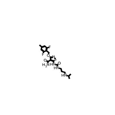 Cc1cc(F)c(COc2nsc(NC(=O)NCCCNC(C)C)c2C(N)=O)c(F)c1